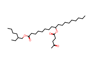 CCCCCCCCCC(CCCCCCCC(=O)OCC(CC)CCCC)OC(=O)CCC(C)=O